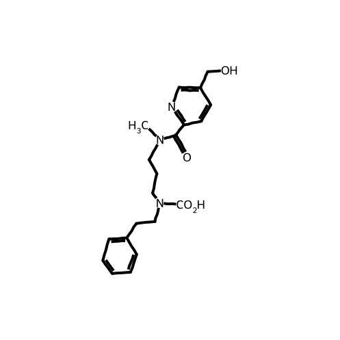 CN(CCCN(CCc1ccccc1)C(=O)O)C(=O)c1ccc(CO)cn1